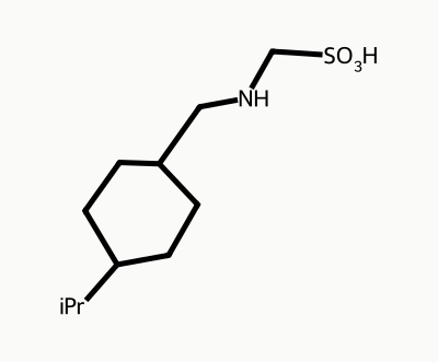 CC(C)C1CCC(CNCS(=O)(=O)O)CC1